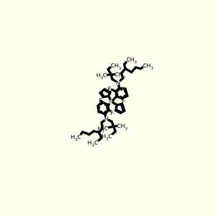 CCCCC(CC)CCN(CC(C)(C)CC)c1ccc(F)[c]([Ti]([c]2c(F)ccc(N(CCC(CC)CCCC)CC(C)(C)CC)c2F)([CH]2C=CC=C2)[CH]2C=CC=C2)c1F